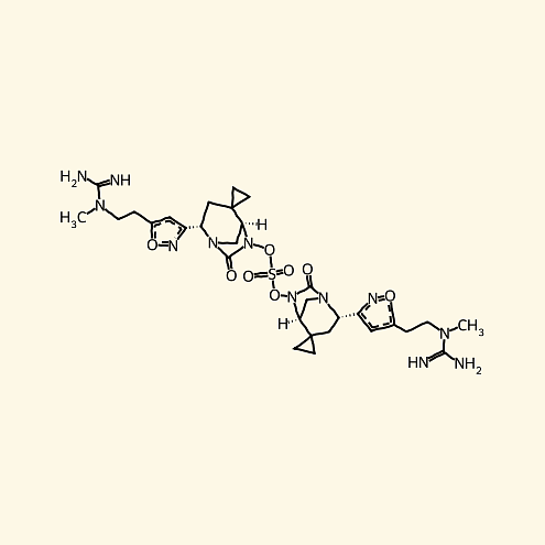 CN(CCc1cc([C@@H]2CC3(CC3)[C@@H]3CN2C(=O)N3OS(=O)(=O)ON2C(=O)N3C[C@H]2C2(CC2)C[C@H]3c2cc(CCN(C)C(=N)N)on2)no1)C(=N)N